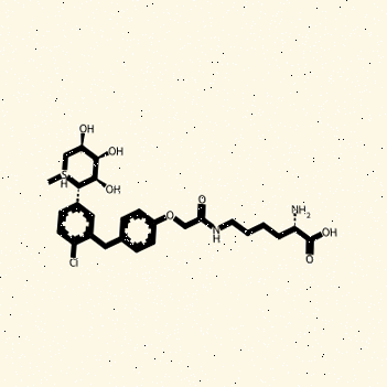 C[SH]1C[C@@H](O)[C@@H](O)[C@@H](O)[C@@H]1c1ccc(Cl)c(Cc2ccc(OCC(=O)NCCCC[C@H](N)C(=O)O)cc2)c1